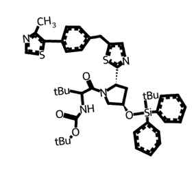 Cc1ncsc1-c1ccc(Cc2cnc([C@@H]3C[C@@H](O[Si](c4ccccc4)(c4ccccc4)C(C)(C)C)CN3C(=O)C(NC(=O)OC(C)(C)C)C(C)(C)C)s2)cc1